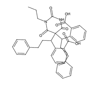 CCCN1C(=O)NC(=O)C(C(CCc2ccccc2)c2ccccc2C(=O)O)(C(CCc2ccccc2)c2ccccc2C(=O)O)C1=O